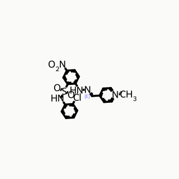 C[n+]1ccc(/C=N/Nc2ccc([N+](=O)[O-])cc2S(=O)(=O)Nc2ccccc2Cl)cc1